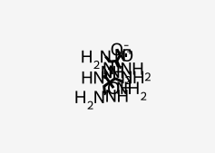 N=C(N)CC(O)(C(=N)N)C(C(=N)N)n1nc(N)c([N+](=O)[O-])c1N